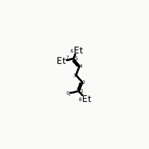 [CH2]C(=CCC=C(CC)CC)CC